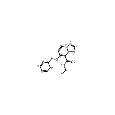 CCOC(=O)c1c(OCC2C=CC=CC2)ccn2ncnc12